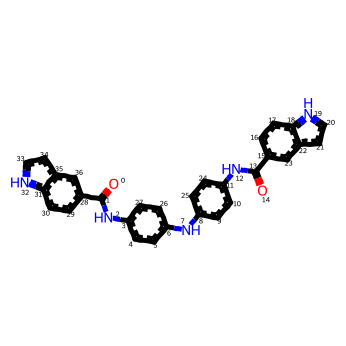 O=C(Nc1ccc(Nc2ccc(NC(=O)c3ccc4[nH]ccc4c3)cc2)cc1)c1ccc2[nH]ccc2c1